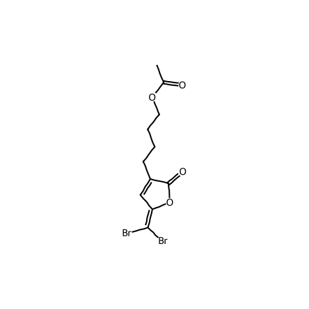 CC(=O)OCCCCC1=CC(=C(Br)Br)OC1=O